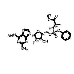 CNc1nc(N)nc2c1ncn2[C@@H]1O[C@H](CO[P@@](=O)(N[C@H](C)C(=O)OC(C)C)Oc2ccccc2)[C@@H](O)[C@H]1F